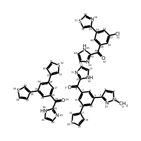 Cn1ccc(-c2cc(C(=O)c3ncc[nH]3)cc(-c3ccsc3)c2)n1.O=C(c1cc(-c2ccsc2)cc(-c2ccsc2)c1)c1ncc[nH]1.O=C(c1cc(Cl)cc(-c2cscn2)c1)c1ncc[nH]1